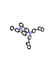 c1ccc(-c2ccc3c4ccccc4n(-c4ccccc4-c4ccc(N(c5ccc(-c6ccc7ccccc7c6)cc5)c5ccc(-c6ccc7ccccc7c6)cc5)cc4)c3c2)cc1